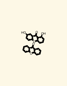 O=c1c2cc(O)ccc2oc2cccc(O)c12.O=c1c2ccccc2oc2ccccc12